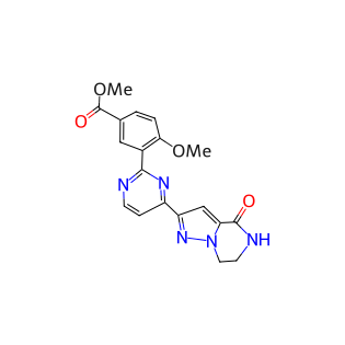 COC(=O)c1ccc(OC)c(-c2nccc(-c3cc4n(n3)CCNC4=O)n2)c1